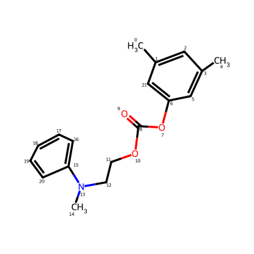 Cc1cc(C)cc(OC(=O)OCCN(C)c2ccccc2)c1